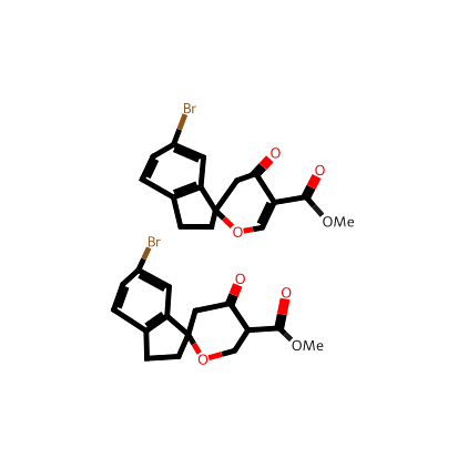 COC(=O)C1=COC2(CCc3ccc(Br)cc32)CC1=O.COC(=O)C1COC2(CCc3ccc(Br)cc32)CC1=O